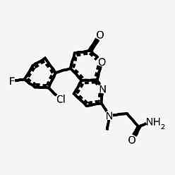 CN(CC(N)=O)c1ccc2c(-c3ccc(F)cc3Cl)cc(=O)oc2n1